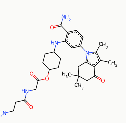 Cc1c2c(n(-c3ccc(C(N)=O)c(NC4CCC(OC(=O)CNC(=O)CCN)CC4)c3)c1C)CC(C)(C)CC2=O